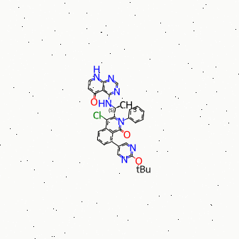 C[C@H](Nc1ncnc2[nH]ccc(=O)c12)c1c(Cl)c2cccc(-c3cnc(OC(C)(C)C)nc3)c2c(=O)n1-c1ccccc1